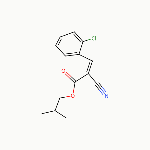 CC(C)COC(=O)C(C#N)=Cc1ccccc1Cl